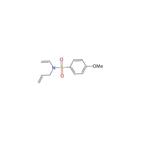 C=CCN(C=C)S(=O)(=O)c1ccc(OC)cc1